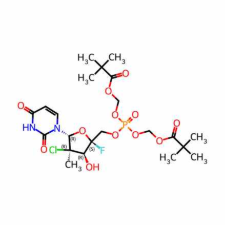 CC(C)(C)C(=O)OCOP(=O)(OCOC(=O)C(C)(C)C)OC[C@@]1(F)O[C@@H](n2ccc(=O)[nH]c2=O)[C@](C)(Cl)[C@@H]1O